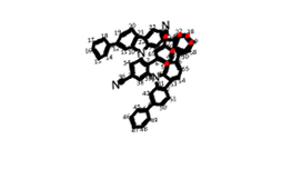 N#Cc1cccc(-c2c(-n3c4cc(-c5ccccc5)ccc4c4ccc(-c5ccccc5)cc43)cc(C#N)cc2-n2c3cc(-c4ccccc4)ccc3c3ccc(-c4ccccc4)cc32)c1